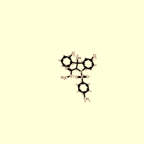 COC(=O)C1N(S(=O)(=O)c2ccc(C)cc2)c2ccc(Cl)cc2C1(O)c1ccccc1Cl